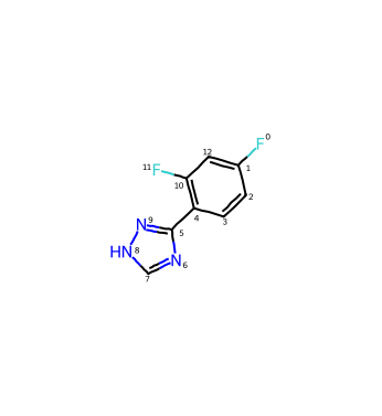 Fc1ccc(-c2nc[nH]n2)c(F)c1